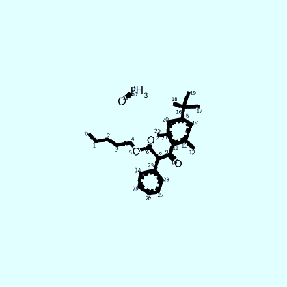 CCCCCOC(=O)C(C(=O)c1c(C)cc(C(C)(C)C)cc1C)c1ccccc1.O=[PH3]